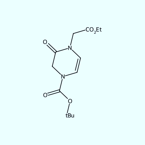 CCOC(=O)CN1C=CN(C(=O)OC(C)(C)C)CC1=O